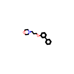 [c]1ccc(-c2cccc(OCCCN3CCOCC3)c2)cc1